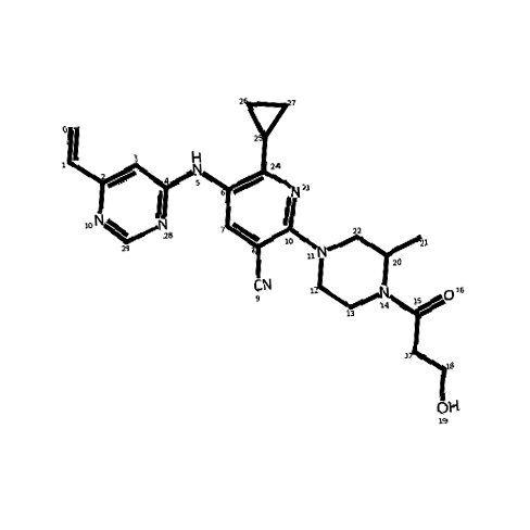 C=Cc1cc(Nc2cc(C#N)c(N3CCN(C(=O)CCO)C(C)C3)nc2C2CC2)ncn1